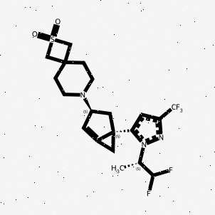 C[C@@H](C(F)F)n1nc(C(F)(F)F)cc1[C@]12CC1=C[C@@H](N1CCC3(CC1)CS(=O)(=O)C3)C2